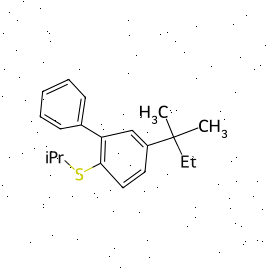 CCC(C)(C)c1ccc(SC(C)C)c(-c2ccccc2)c1